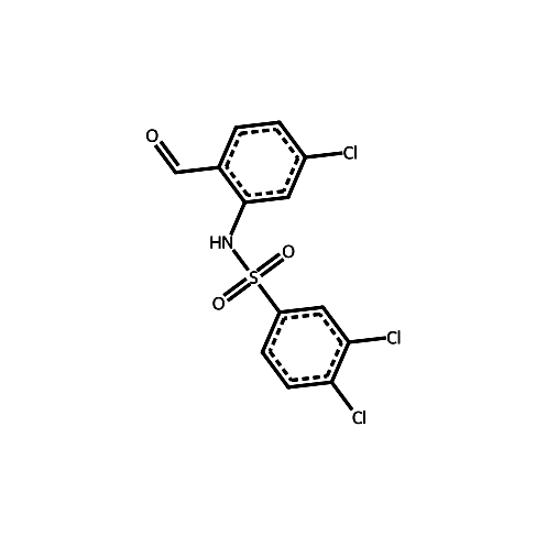 O=Cc1ccc(Cl)cc1NS(=O)(=O)c1ccc(Cl)c(Cl)c1